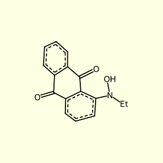 CCN(O)c1cccc2c1C(=O)c1ccccc1C2=O